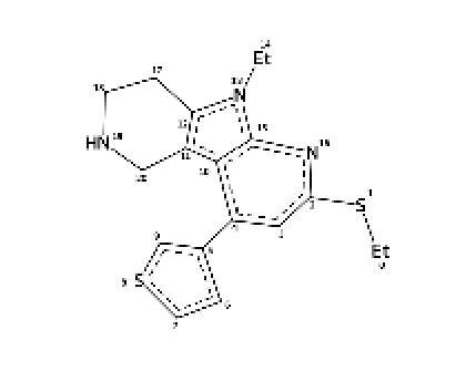 CCSc1cc(-c2ccsc2)c2c3c(n(CC)c2n1)CCNC3